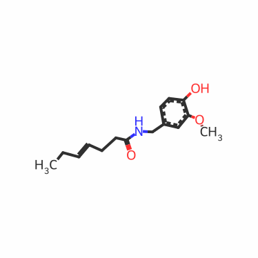 CCC=CCCC(=O)NCc1ccc(O)c(OC)c1